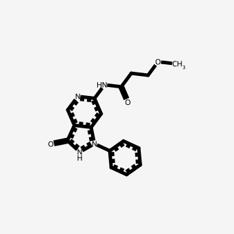 COCCC(=O)Nc1cc2c(cn1)c(=O)[nH]n2-c1ccccc1